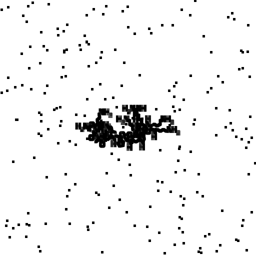 CC(NC(=O)[C@H](CCN)NC(=O)C(N)CCCN)C(=O)NCC(=O)N[C@H](CCCN)C(=O)N1CCC[C@H]1C(=O)NC(Cc1cnc[nH]1)C(=O)N[C@@H](CCCCN)C(=O)N/C(=C\CCNC(=N)N)C(=O)N[C@@H](CCCCN)C(=O)NCCCCN